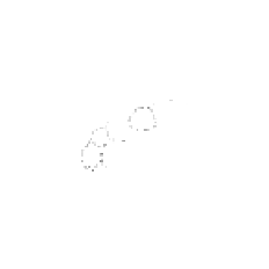 COc1ccc(Cn2c(C)cc3ccnc(Cl)c32)cc1